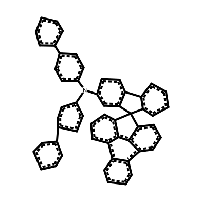 c1ccc(-c2ccc(N(c3ccc(-c4ccccc4)cc3)c3ccc4c(c3)C3(c5ccccc5-4)c4cccc5c6ccccc6c6cccc3c6c45)cc2)cc1